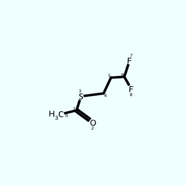 CC(=O)SCCC(F)F